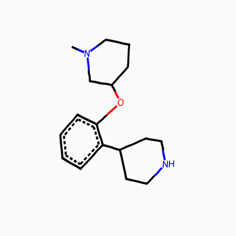 CN1CCCC(Oc2ccccc2C2CCNCC2)C1